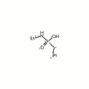 CCNP(=O)(O)CC(C)C